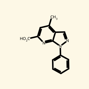 Cc1cc(C(=O)O)nc2c1cnn2-c1ccccc1